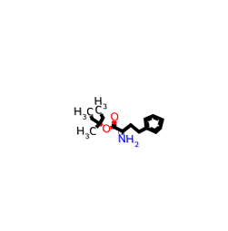 CCC(C)(CC)OC(=O)[C@@H](N)CCc1ccccc1